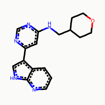 c1cnc2[nH]cc(-c3cc(NCC4CCOCC4)ncn3)c2c1